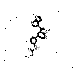 C=CC(=O)Nc1cccc(-c2cnc3[nH]cc(-c4ccnc5occc45)c3c2)c1